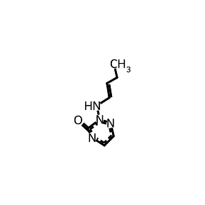 CC/C=C/Nn1nccnc1=O